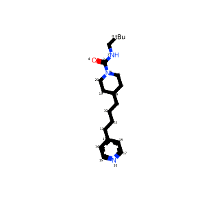 CC(C)(C)CNC(=O)N1CCC(CCCCc2ccncc2)CC1